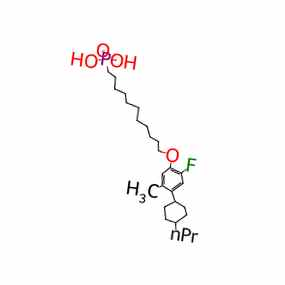 CCCC1CCC(c2cc(F)c(OCCCCCCCCCCCP(=O)(O)O)cc2C)CC1